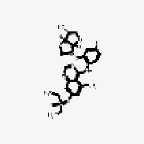 CCS(=O)(CC)=Nc1cc(C)c2c(Nc3ccc(F)cc3O[C@@H]3CO[C@H]4[C@@H]3OC[C@H]4O)ncnc2c1